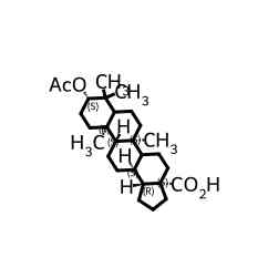 CC(=O)O[C@H]1CC[C@@]2(C)C(CC[C@@]3(C)C4CC[C@@]5(C(=O)O)CCC[C@@H]5[C@H]4CC[C@@H]32)C1(C)C